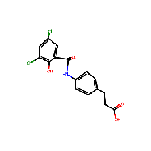 O=C(O)CCc1ccc(NC(=O)c2cc(Cl)cc(Cl)c2O)cc1